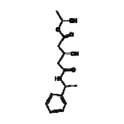 CC(O)OC(=O)C[C@H](O)CC(=O)NC(C)c1ccccc1